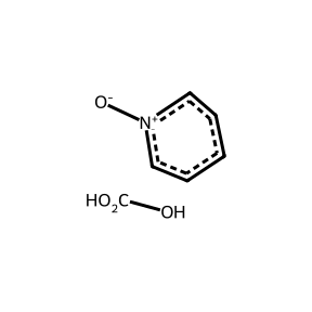 O=C(O)O.[O-][n+]1ccccc1